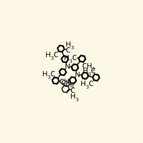 CC1=CCCC(C)=C1c1ccc(N(c2ccc(-c3c(C)cccc3C)cc2)c2cc(-c3c(C)cccc3C)cc(N(c3ccc(-c4c(C)cccc4C)cc3)c3ccc(-c4c(C)cccc4C)cc3)c2)cc1